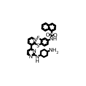 NC1CCC(Nc2nccc(-c3cccnc3Sc3ccc(NS(=O)(=O)c4cccc5ccccc45)cc3F)n2)CC1